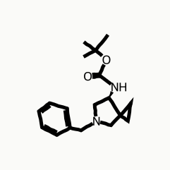 CC(C)(C)OC(=O)N[C@@H]1CN(Cc2ccccc2)CC12CC2